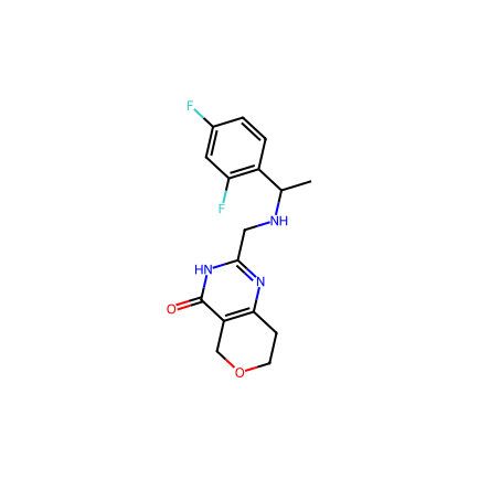 CC(NCc1nc2c(c(=O)[nH]1)COCC2)c1ccc(F)cc1F